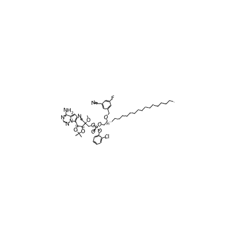 CCCCCCCCCCCCCCCCC[C@H](COP(=O)(OCC(C#N)(OC)[C@H]1OC(C)(C)O[C@H]1c1ccc2c(N)ncnn12)Oc1ccccc1Cl)OCc1cc(F)cc(C#N)c1